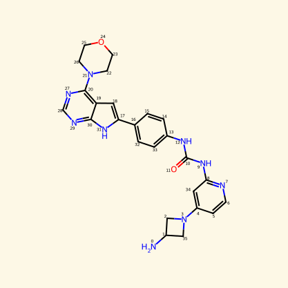 NC1CN(c2ccnc(NC(=O)Nc3ccc(-c4cc5c(N6CCOCC6)ncnc5[nH]4)cc3)c2)C1